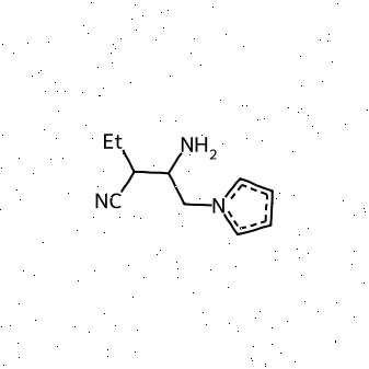 CCC(C#N)C(N)Cn1cccc1